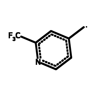 [CH2]c1ccnc(C(F)(F)F)c1